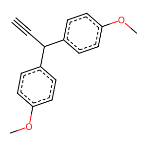 C#CC(c1ccc(OC)cc1)c1ccc(OC)cc1